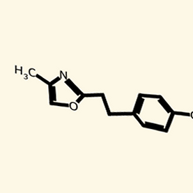 Cc1coc(CCc2ccc(Cl)cc2)n1